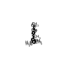 COC(=O)CCS(=O)(=O)c1ccc(C=C(C)c2ccc3c(c2)C(C)(C)CCC3(C)C)cc1